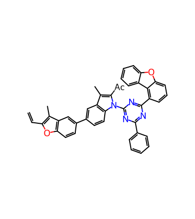 C=Cc1oc2ccc(-c3ccc4c(c3)c(C)c(C(C)=O)n4-c3nc(-c4ccccc4)nc(-c4cccc5oc6ccccc6c45)n3)cc2c1C